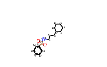 O=S(=O)([N]CCCC1CCCCC1)c1ccccc1